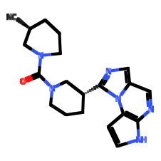 N#C[C@H]1CCCN(C(=O)N2CCC[C@@H](c3ncc4cnc5[nH]ccc5n34)C2)C1